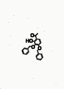 CC(=O)c1ccc(OCc2ccccc2)c(OCc2ccccc2)c1O